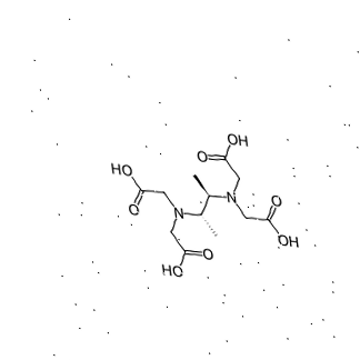 C[C@H]([C@H](C)N(CC(=O)O)CC(=O)O)N(CC(=O)O)CC(=O)O